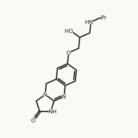 CC(C)NCC(O)COc1ccc2c(c1)CN1CC(=O)NC1=N2